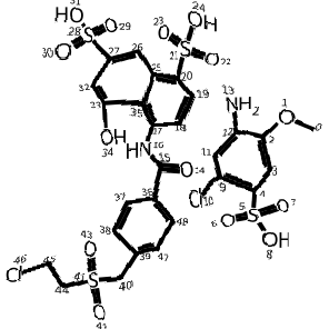 COc1cc(S(=O)(=O)O)c(Cl)cc1N.O=C(Nc1ccc(S(=O)(=O)O)c2cc(S(=O)(=O)O)cc(O)c12)c1ccc(CS(=O)(=O)CCCl)cc1